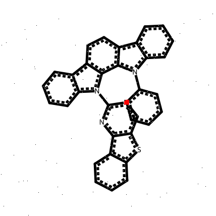 c1ccc(-n2c3ccccc3c3ccc4c5ccccc5n(-c5ncc6sc7ccccc7c6n5)c4c32)cc1